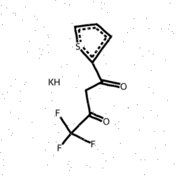 O=C(CC(=O)C(F)(F)F)c1cccs1.[KH]